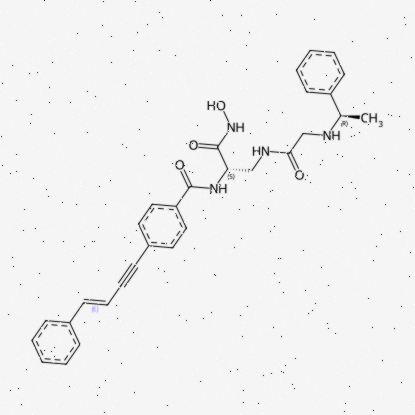 C[C@@H](NCC(=O)NC[C@H](NC(=O)c1ccc(C#C/C=C/c2ccccc2)cc1)C(=O)NO)c1ccccc1